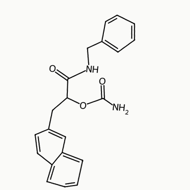 NC(=O)OC(Cc1ccc2ccccc2c1)C(=O)NCc1ccccc1